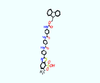 Cc1ccc2nc(-c3ccc(NC(=O)c4ccc(NC(=O)c5ccc(NC(=O)OCC6c7ccccc7-c7ccccc76)cc5)cc4)cc3)sc2c1S(=O)(=O)O